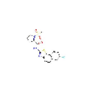 CS(=O)(=O)N1CCCC1C(=O)Nc1nc2ccc3cc(F)ccc3c2s1